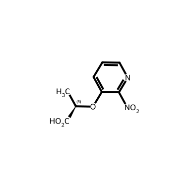 C[C@@H](Oc1cccnc1[N+](=O)[O-])C(=O)O